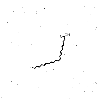 CC/C=C/C/C=C/C/C=C/C/C=C\C/C=C/C/C=C/CCC(=O)O